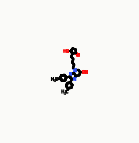 Cc1ccc(-c2nc3c(nc2-c2ccc(C)cc2)N(CCCCCC2=C(O)CCC2=O)CC(O)C3)cc1